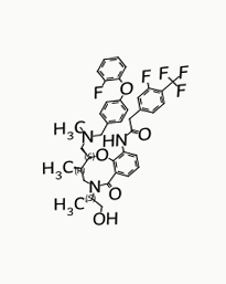 C[C@@H]1CN([C@@H](C)CO)C(=O)c2cccc(NC(=O)Cc3ccc(C(F)(F)F)c(F)c3)c2O[C@@H]1CN(C)Cc1ccc(Oc2ccccc2F)cc1